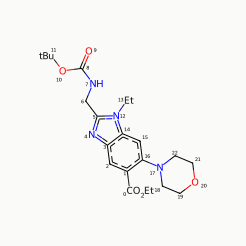 CCOC(=O)c1cc2nc(CNC(=O)OC(C)(C)C)n(CC)c2cc1N1CCOCC1